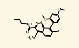 CCCNC(=O)c1nnc2c(-c3ccc(OC)cc3OC)c(F)ccc2c1[AsH2]